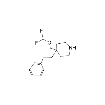 FC(F)OCC1(CCc2ccccc2)CCNCC1